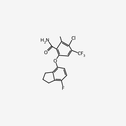 Cc1c(Cl)c(C(F)(F)F)cc(Oc2ccc(F)c3c2CCC3)c1C(N)=O